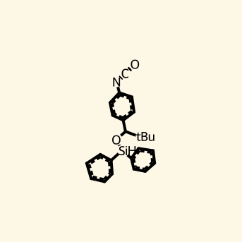 CC(C)(C)C(O[SiH](c1ccccc1)c1ccccc1)c1ccc(N=C=O)cc1